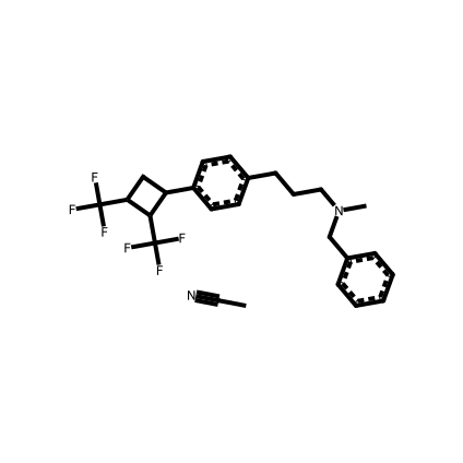 CC#N.CN(CCCc1ccc(C2CC(C(F)(F)F)C2C(F)(F)F)cc1)Cc1ccccc1